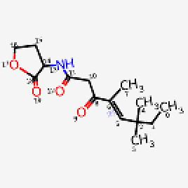 CCC(C)(C)/C=C(\C)C(=O)CC(=O)NC1CCOC1=O